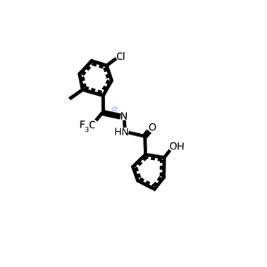 Cc1ccc(Cl)cc1/C(=N/NC(=O)c1ccccc1O)C(F)(F)F